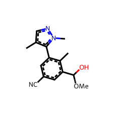 COC(O)c1cc(C#N)cc(-c2c(C)cnn2C)c1C